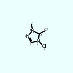 CN1N=CN(Cl)C1F